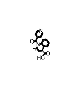 C[C@@H]1C[C@@H](C(=O)O)c2ccccc2N1C(=O)c1ccncc1